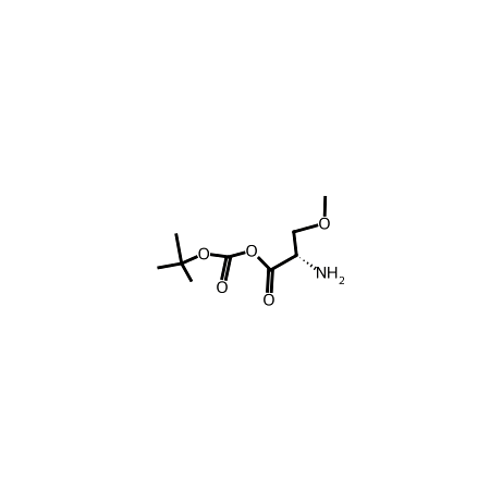 COC[C@H](N)C(=O)OC(=O)OC(C)(C)C